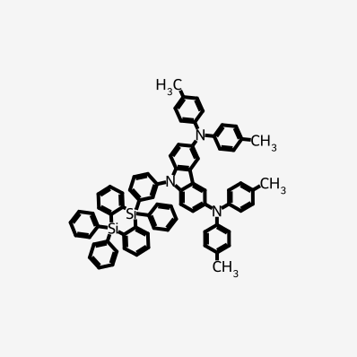 Cc1ccc(N(c2ccc(C)cc2)c2ccc3c(c2)c2cc(N(c4ccc(C)cc4)c4ccc(C)cc4)ccc2n3-c2cccc([Si]3(c4ccccc4)c4ccccc4[Si](c4ccccc4)(c4ccccc4)c4ccccc43)c2)cc1